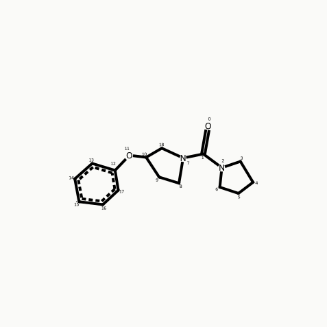 O=C(N1CCCC1)N1CCC(Oc2cc[c]cc2)C1